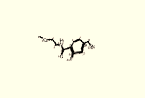 COCCNC(=O)c1ccc(CBr)cc1F